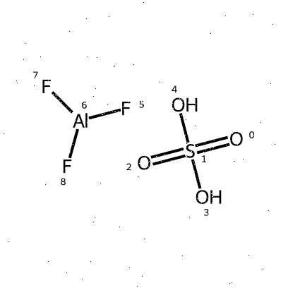 O=S(=O)(O)O.[F][Al]([F])[F]